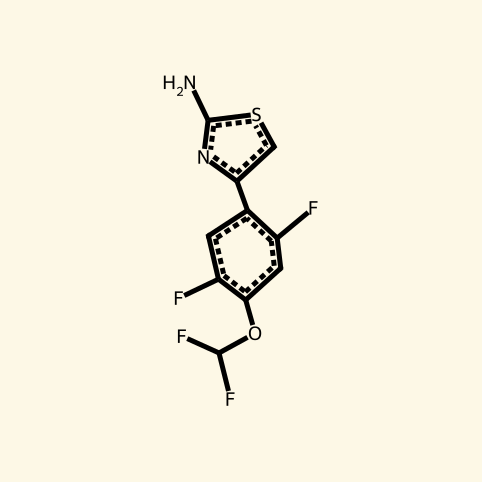 Nc1nc(-c2cc(F)c(OC(F)F)cc2F)cs1